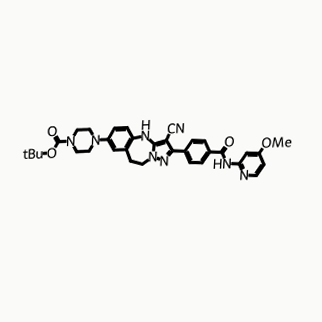 COc1ccnc(NC(=O)c2ccc(-c3nn4c(c3C#N)Nc3ccc(N5CCN(C(=O)OC(C)(C)C)CC5)cc3CC4)cc2)c1